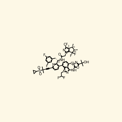 C[C@@H]1c2c(C(F)(F)F)nn(CC(=O)N[C@@H](Cc3cc(F)cc(F)c3)c3nc(C#CC(C)(C)S(=O)(=O)C4CC4)ccc3-c3ccc(Cl)c4c(Nc5nnc(C(C)(C)O)o5)nn(CC(F)F)c34)c2C(F)(F)[C@@H]1C